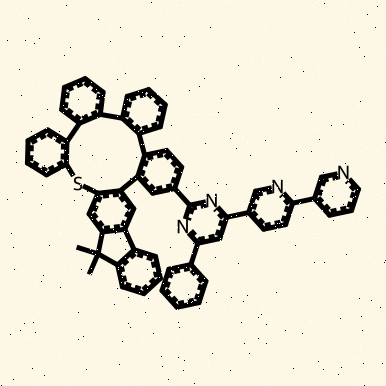 CC1(C)c2ccccc2-c2cc3c(cc21)Sc1ccccc1-c1ccccc1-c1ccccc1-c1ccc(-c2nc(-c4ccccc4)cc(-c4ccc(-c5cccnc5)nc4)n2)cc1-3